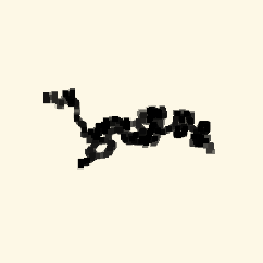 CC(C)(C)C(NC(=O)c1nn(CCCCN)c2cc(F)ccc12)C(=O)NCc1nnc(C(N)=O)o1